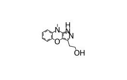 CN1c2ccccc2Oc2c(CCO)n[nH]c21